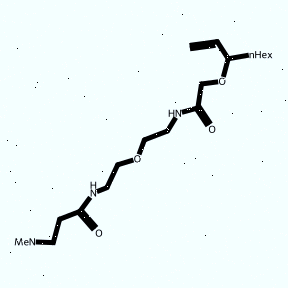 C=CC(CCCCCC)OCC(=O)NCCOCCNC(=O)CCNC